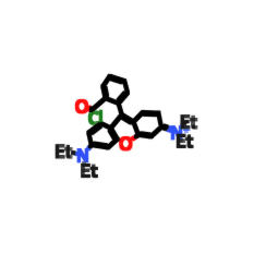 CCN(CC)c1ccc2c(-c3ccccc3C(=O)Cl)c3ccc(=[N+](CC)CC)cc-3oc2c1